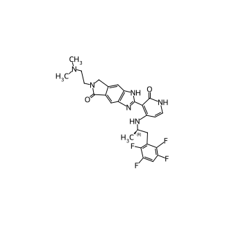 C[C@H](Cc1c(F)c(F)cc(F)c1F)Nc1cc[nH]c(=O)c1-c1nc2cc3c(cc2[nH]1)CN(CCN(C)C)C3=O